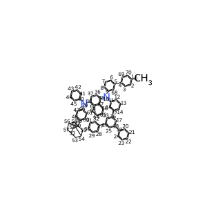 Cc1ccc(-c2cccc(N(c3cccc(-c4cc(-c5ccccc5)cc(-c5ccccc5)c4)c3)c3ccc(N(c4ccccc4)c4ccc(C56CC7CC(CC(C7)C5)C6)cc4)c4ccccc34)c2)cc1